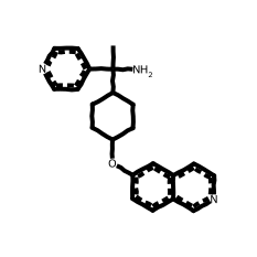 CC(N)(c1ccncc1)C1CCC(Oc2ccc3cnccc3c2)CC1